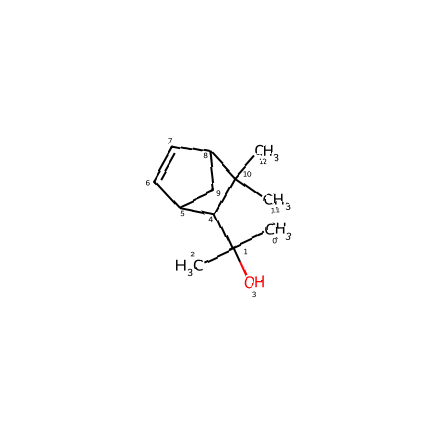 CC(C)(O)C1C2C=CC(C2)C1(C)C